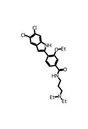 CCOc1cc(C(=O)NCCCN(CC)CC)ccc1-c1cc2cc(Cl)c(Cl)cc2[nH]1